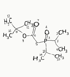 CC(C)P(=O)(CC(=O)OC(C)(C)C)C(C)C